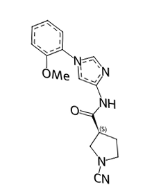 COc1ccccc1-n1cnc(NC(=O)[C@H]2CCN(C#N)C2)c1